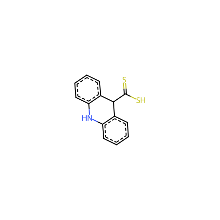 S=C(S)C1c2ccccc2Nc2ccccc21